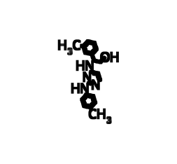 Cc1ccc(Nc2nccc(NC(CO)c3cccc(C)c3)n2)cc1